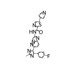 Cc1nc(-c2ccc(F)cc2)c(-c2ccc3nc(NC(=O)c4ncc(-c5ccncc5)s4)cn3n2)n1C